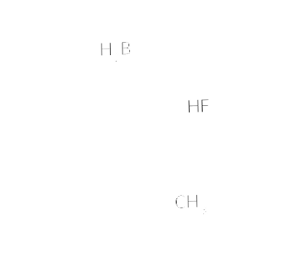 BCCCC.F